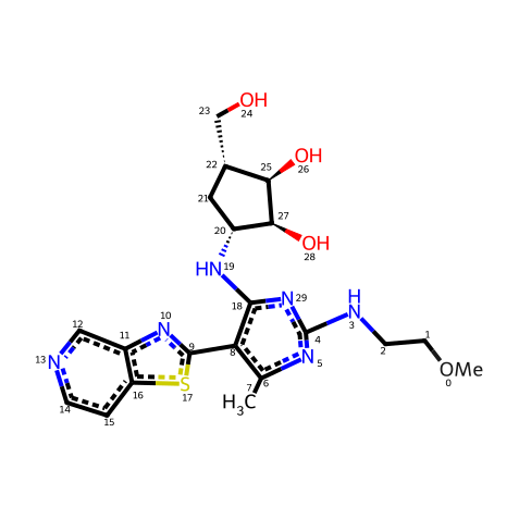 COCCNc1nc(C)c(-c2nc3cnccc3s2)c(N[C@@H]2C[C@H](CO)[C@@H](O)[C@H]2O)n1